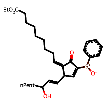 CCCCCC(O)C=CC1C=C([S+]([O-])c2ccccc2)C(=O)C1=CCCCCCCCC(=O)OCC